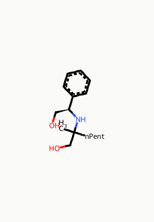 CCCCCC(C)(CO)N[C@@H](CO)c1ccccc1